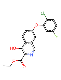 CCOC(=O)c1ncc2cc(Oc3cc(F)ccc3Cl)ccc2c1O